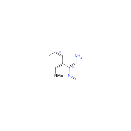 C=NC(=C/N)/C(/C=C\C)=C\NC